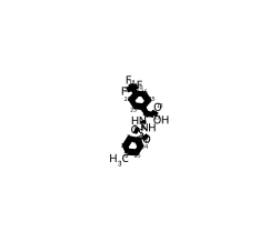 Cc1ccc(S(=O)(=O)NNC(C(=O)O)c2ccc(C(F)(F)F)cc2)cc1